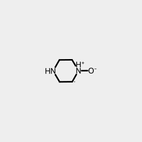 [O-][NH+]1[CH]CNCC1